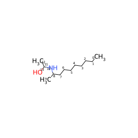 CCCCCCCCC(C)NC(C)O